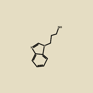 [NH]CCCn1cnc2ccccc21